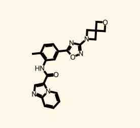 Cc1ccc(-c2nc(N3CC4(COC4)C3)no2)cc1NC(=O)c1cnc2ccccn12